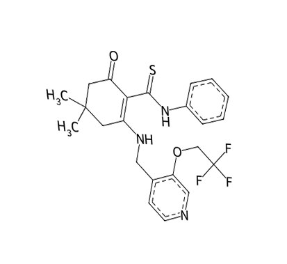 CC1(C)CC(=O)C(C(=S)Nc2ccccc2)=C(NCc2ccncc2OCC(F)(F)F)C1